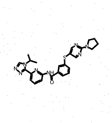 CC(C)n1cnnc1-c1cccc(NC(=O)c2cccc(Sc3cnc(N4CCCC4)nc3)c2)n1